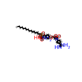 CCCCCCCCCCCCCCCCS(=O)(=O)C(N)(Cc1ccc(OCC2CN(c3ccc(C(=N)N)cc3)C(=O)O2)cc1)C(=O)O